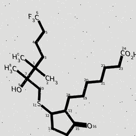 CC(C)(CCCC(F)(F)F)C(C)(O)CSC1CCC(=O)C1CCCCCCC(=O)O